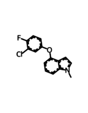 Cn1ccc2c(Oc3ccc(F)c(Cl)c3)cccc21